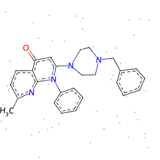 Cc1ccc2c(=O)cc(N3CCN(Cc4ccccc4)CC3)n(-c3ccccc3)c2n1